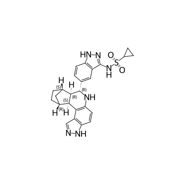 O=S(=O)(Nc1n[nH]c2ccc([C@@H]3Nc4ccc5[nH]ncc5c4[C@H]4[C@@H]5CC[C@@H](C5)[C@H]43)cc12)C1CC1